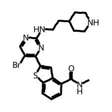 CNC(=O)c1cccc2sc(-c3nc(NCCC4CCNCC4)ncc3Br)cc12